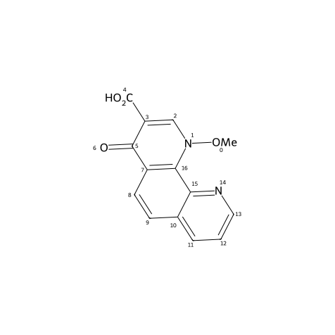 COn1cc(C(=O)O)c(=O)c2ccc3cccnc3c21